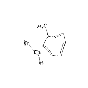 CC(C)OC(C)C.Cc1ccccc1